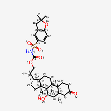 C[C@H](COC(=O)NS(=O)(=O)c1ccc2c(c1)CC(C)(C)O2)[C@H]1CC[C@H]2[C@@H]3[C@H](O)C[C@@H]4CC(=O)CC[C@]4(C)[C@H]3CC[C@]12C